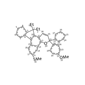 CCC1(CC)c2ccccc2-c2c1c1c(c3cc(SC)ccc23)OC(c2ccccc2)(c2ccc(OC)cc2)C=C1